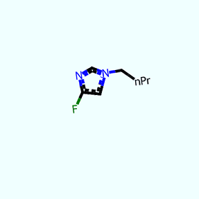 CCCCn1cnc(F)c1